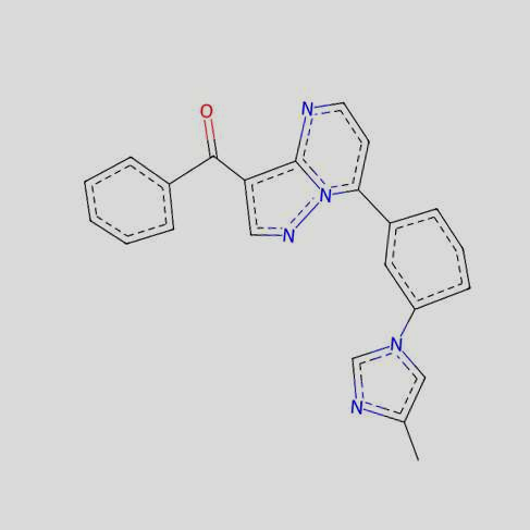 Cc1cn(-c2cccc(-c3ccnc4c(C(=O)c5ccccc5)cnn34)c2)cn1